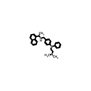 C[C@@H](NCc1ccc(N(CCN(C)C)c2ccccc2)cc1)c1cccc2ccccc12